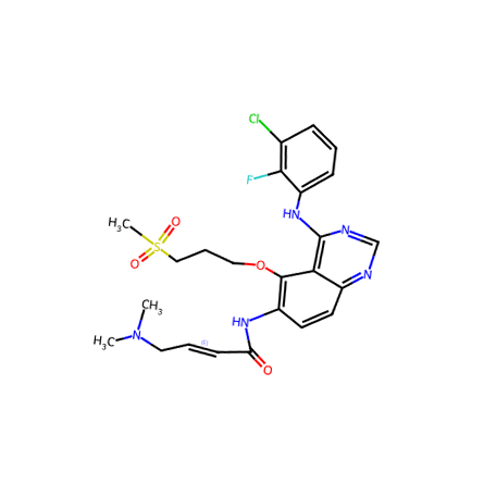 CN(C)C/C=C/C(=O)Nc1ccc2ncnc(Nc3cccc(Cl)c3F)c2c1OCCCS(C)(=O)=O